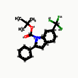 CC(C)(C)OC(=O)n1c(-c2ccccc2)cc2ccc(C(F)(F)F)cc21